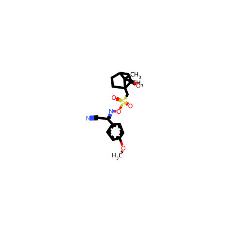 COc1ccc(/C(C#N)=N\OS(=O)(=O)CC23CCC(CC2=O)C3(C)C)cc1